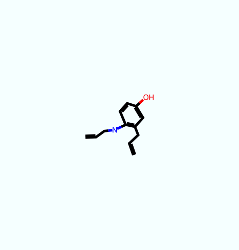 C=CC[N]c1ccc(O)cc1CC=C